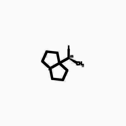 C[C@@H](I)C12CCCN1CCC2